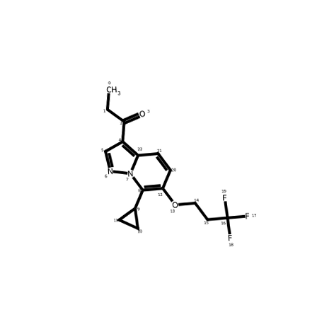 CCC(=O)c1cnn2c(C3CC3)c(OCCC(F)(F)F)ccc12